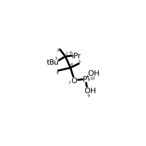 CC(C)C(C)(C(C)(C)C)C(C)(C)OP(O)O